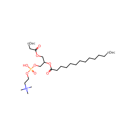 CCCCCCCCCCCCCCCCCCCCCC(=O)OC(COC(=O)CCCCCCCCCCC)COP(=O)(O)OCC[N+](C)(C)C